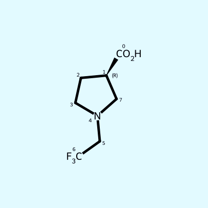 O=C(O)[C@@H]1CCN(CC(F)(F)F)C1